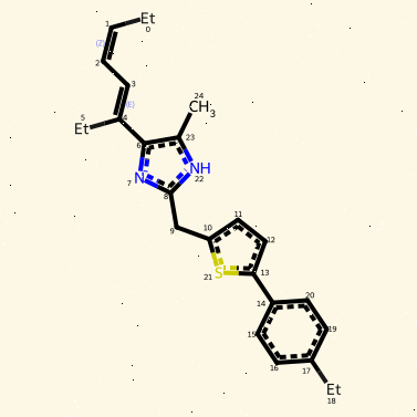 CC/C=C\C=C(/CC)c1nc(Cc2ccc(-c3ccc(CC)cc3)s2)[nH]c1C